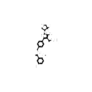 COc1ccc(F)cc1C(=O)NCc1ccc(-c2nn(C3CNCC3(F)F)c(N)c2C(N)=O)cc1